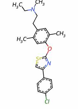 CCN(C)CCc1cc(C)c(Oc2nc(-c3ccc(Cl)cc3)cs2)cc1C